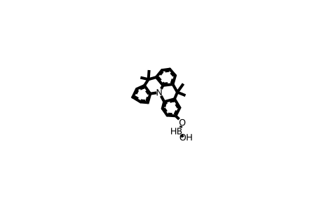 CC1(C)c2ccccc2N2c3ccc(OBO)cc3C(C)(C)c3cccc1c32